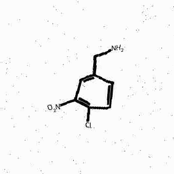 NCc1ccc(Cl)c([N+](=O)[O-])c1